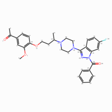 COc1cc(C(C)=O)ccc1OCCC(C)N1CCN(c2nn(C(=O)c3ccccc3)c3cc(F)ccc23)CC1